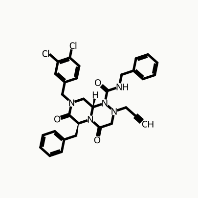 C#CCN1CC(=O)N2[C@@H](Cc3ccccc3)C(=O)N(Cc3ccc(Cl)c(Cl)c3)C[C@@H]2N1C(=O)NCc1ccccc1